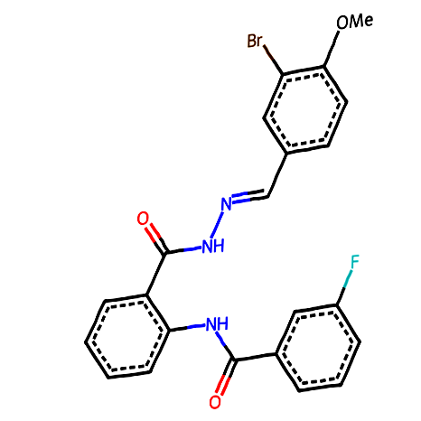 COc1ccc(C=NNC(=O)c2ccccc2NC(=O)c2cccc(F)c2)cc1Br